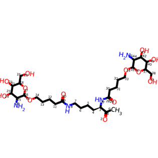 CC(=O)[C@@H](CCCCNC(=O)CCCCOC1OC(CO)C(O)C(O)C1N)NC(=O)CCCCOC1OC(CO)C(O)C(O)C1N